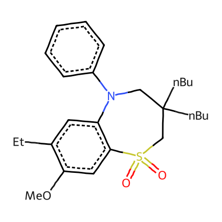 CCCCC1(CCCC)CN(c2ccccc2)c2cc(CC)c(OC)cc2S(=O)(=O)C1